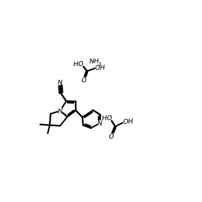 CC1(C)Cc2c(-c3ccncc3)cc(C#N)n2C1.N.O=C(O)O.O=C(O)O